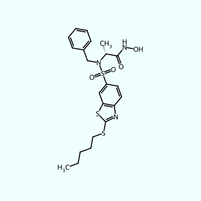 CCCCCSc1nc2ccc(S(=O)(=O)N(Cc3ccccc3)[C@H](C)C(=O)NO)cc2s1